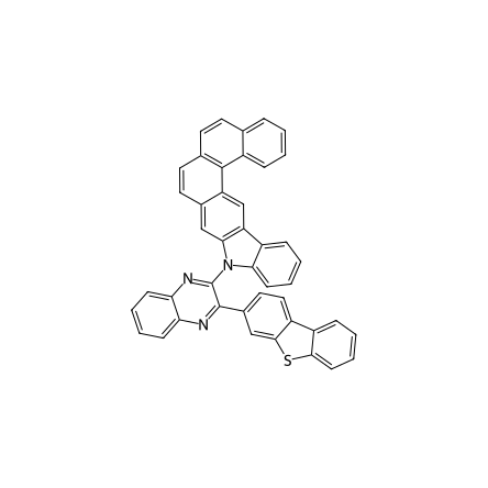 c1ccc2c(c1)ccc1ccc3cc4c(cc3c12)c1ccccc1n4-c1nc2ccccc2nc1-c1ccc2c(c1)sc1ccccc12